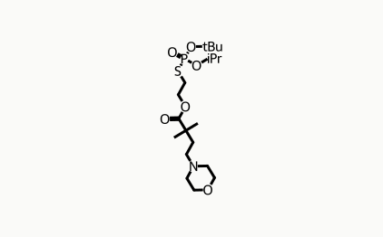 CC(C)OP(=O)(OC(C)(C)C)SCCOC(=O)C(C)(C)CCN1CCOCC1